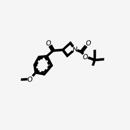 COc1ccc(C(=O)C2CN(C(=O)OC(C)(C)C)C2)cc1